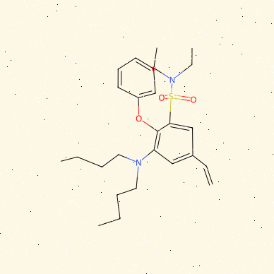 C=Cc1cc(N(CCCC)CCCC)c(Oc2ccccc2)c(S(=O)(=O)N(CC)CC)c1